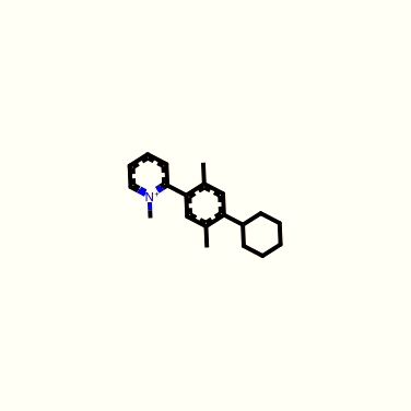 Cc1cc(C2CCCCC2)c(C)cc1-c1cccc[n+]1C